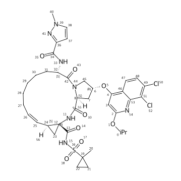 CC(C)Oc1cc(O[C@@H]2C[C@H]3C(=O)N[C@]4(C(=O)NS(=O)(=O)C5(C)CC5)C[C@H]4C=CCCCCC[C@H](NC(=O)c4ccn(C)n4)C(=O)N3C2)c2ccc(Cl)c(Cl)c2n1